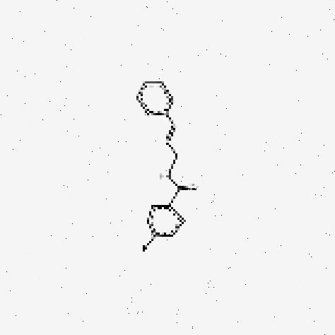 O=C(NC/C=C/c1ccccc1)c1ccc(F)cc1